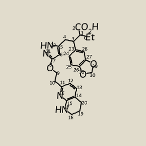 CCC(C(=O)O)C(Cc1cc(OCCc2ccc3c(n2)NCCC3)n[nH]1)c1ccc2c(c1)OCO2